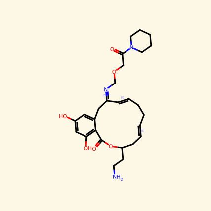 NCCC1C/C=C/CC/C=C/C(=N\COCC(=O)N2CCCCC2)Cc2cc(O)cc(O)c2C(=O)O1